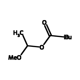 CCC(C)C(=O)OC(C)OC